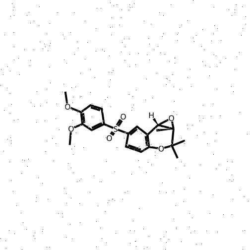 COc1ccc(S(=O)(=O)c2ccc3c(c2)[C@@H]2O[C@]2(C)C(C)(C)O3)cc1OC